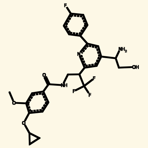 COc1cc(C(=O)NCC(c2cc(C(N)CO)cc(-c3ccc(F)cc3)n2)C(F)(F)F)ccc1OC1CC1